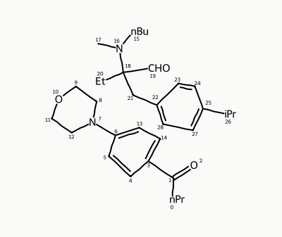 CCCC(=O)c1ccc(N2CCOCC2)cc1.CCCCN(C)C(C=O)(CC)Cc1ccc(C(C)C)cc1